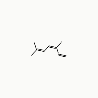 C=N/C(F)=C\C=C(C)C